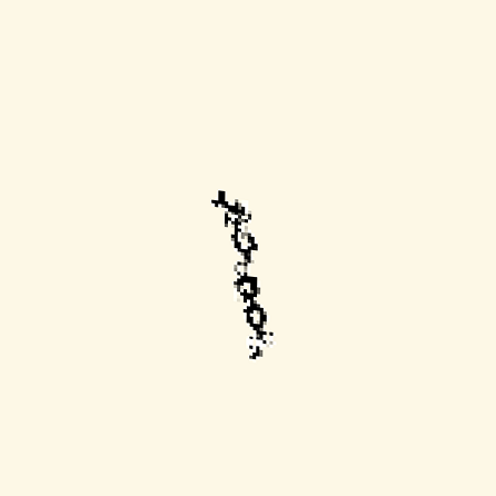 CCOC(=O)C1CC=C(c2ccc(OCC3CCN(c4nc(C(C)C)no4)CC3)cn2)CC1